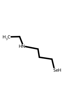 CCNCCC[SeH]